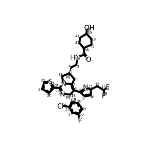 O=C(NCC[C@H]1CC2=C(C3=NC(CC(F)F)C=C3)[C@H](c3ccc(F)cc3Cl)N=C(c3cccs3)N2C1)C1CCC(O)CC1